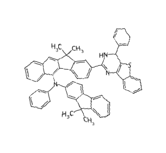 CC1(C)c2ccccc2-c2ccc(N(c3ccccc3)c3c4c(cc5ccccc35)C(C)(C)c3cc(C5=Nc6c(sc7ccccc67)C(C6=CCCC=C6)N5)ccc3-4)cc21